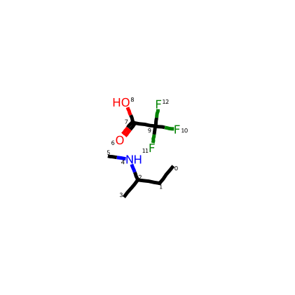 CCC(C)NC.O=C(O)C(F)(F)F